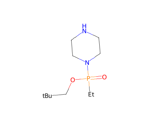 CCP(=O)(OCC(C)(C)C)N1CCNCC1